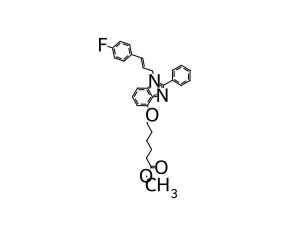 COC(=O)CCCCCOc1cccc2c1nc(-c1ccccc1)n2CC=Cc1ccc(F)cc1